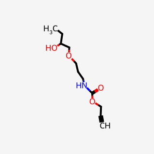 C#CCOC(=O)NCCCOCC(O)CC